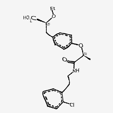 CCO[C@@H](Cc1ccc(O[C@@H](C)C(=O)NCCc2ccccc2Cl)cc1)C(=O)O